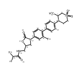 CC1CS(=O)(=O)CCN1c1ccc(-c2ccc(N3CC(CNC(=O)C(F)F)OC3=O)cc2F)cn1